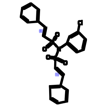 O=S(=O)(/C=C/c1ccccc1)N(c1cccc(Cl)c1)S(=O)(=O)/C=C/c1ccccc1